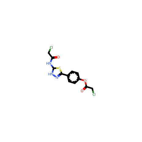 O=C(CCl)NC1NN=C(c2ccc(OC(=O)CCl)cc2)S1